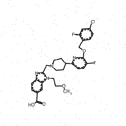 COCCn1c(CN2CCC(c3ccc(F)c(OCc4ccc(Cl)cc4F)n3)CC2)nc2ccc(C(=O)O)cc21